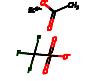 CC(=O)[O-].O=S(=O)([O-])C(F)(F)F.[Sc+2]